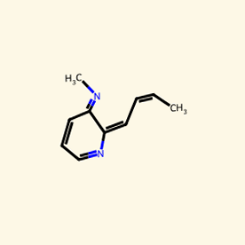 C\C=C/C=C1/N=CC=C/C1=N\C